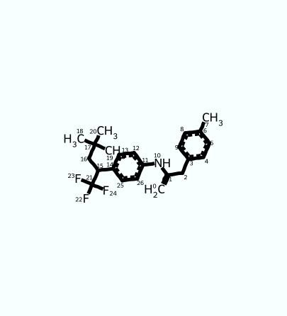 C=C(Cc1ccc(C)cc1)Nc1ccc(C(CC(C)(C)C)C(F)(F)F)cc1